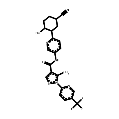 Cc1c(C(=O)Nc2ccc(C3CC(C#N)CCC3O)nc2)cnn1-c1ccc(C(F)(F)F)cn1